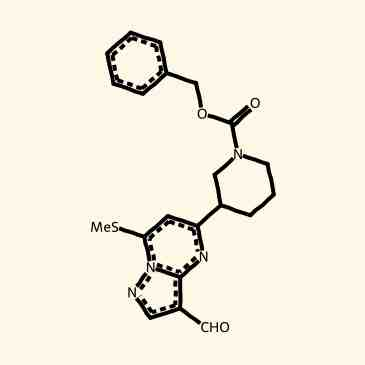 CSc1cc(C2CCCN(C(=O)OCc3ccccc3)C2)nc2c(C=O)cnn12